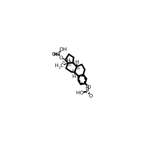 C[C@]12CC[C@@H]3c4ccc(O[PH](=O)O)cc4CC[C@H]3[C@@H]1CC[C@@H]2O[PH](=O)O